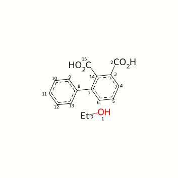 CCO.O=C(O)c1cccc(-c2ccccc2)c1C(=O)O